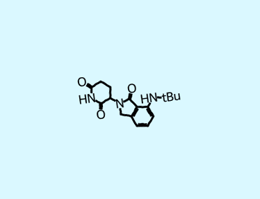 CC(C)(C)Nc1cccc2c1C(=O)N(C1CCC(=O)NC1=O)C2